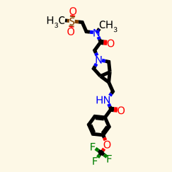 CN(CCS(C)(=O)=O)C(=O)CN1CC2C(CNC(=O)c3cccc(OC(F)(F)F)c3)C2C1